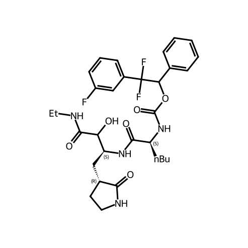 CCCC[C@H](NC(=O)OC(c1ccccc1)C(F)(F)c1cccc(F)c1)C(=O)N[C@@H](C[C@H]1CCNC1=O)C(O)C(=O)NCC